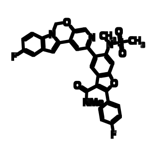 CNC(=O)c1c(-c2ccc(F)cc2)oc2cc(N(C)S(C)(=O)=O)c(-c3cc4c(cn3)OCn3c-4cc4cc(F)ccc43)cc12